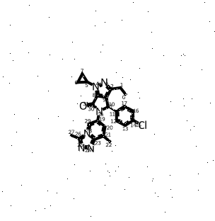 CCc1nn(C2CC2)c2c1[C@@H](c1ccc(Cl)cc1)N(c1cc(C)c3nnc(C)n3c1)C2=O